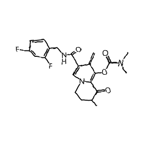 C=C1C(C(=O)NCc2ccc(F)cc2F)=CN2CCC(C)C(=O)C2=C1OC(=O)N(C)C